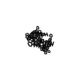 CC(C)(C[C@H]1[C@H](O[C@@H]2[C@H]3OC(=O)N[C@@H]3C[C@H](NC(=O)OCc3ccccc3)[C@H]2O[C@H]2O[C@@H]3COC(c4ccccc4)O[C@H]3[C@H](O)[C@H]2NC(=O)OCc2ccccc2)O[C@H](CO[Si](c2ccccc2)(c2ccccc2)C(C)(C)C)[C@H]1O[C@H]1O[C@H]2CN(C(=O)OCc3ccccc3)C(c3ccccc3)O[C@H]2[C@H](O)[C@H]1NC(=O)OCc1ccccc1)[Si](O)(c1ccccc1)c1ccccc1